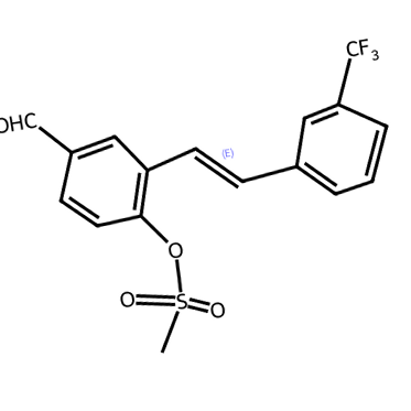 CS(=O)(=O)Oc1ccc(C=O)cc1/C=C/c1cccc(C(F)(F)F)c1